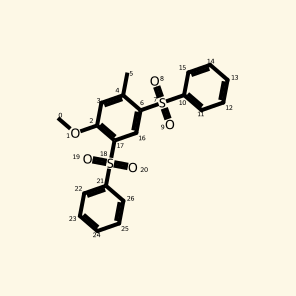 COc1cc(C)c(S(=O)(=O)c2ccccc2)cc1S(=O)(=O)c1ccccc1